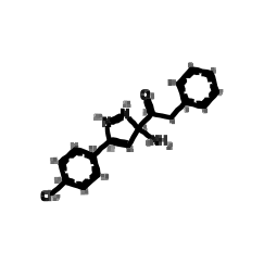 NC1(C(=O)Cc2ccccc2)C=C(c2ccc(Cl)cc2)N=N1